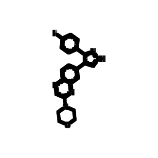 Fc1ccc(-c2n[nH]cc2-c2ccc3ncc(N4CCOCC4)nc3c2)cc1